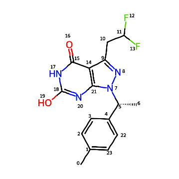 Cc1ccc([C@@H](C)n2nc(CC(F)F)c3c(=O)[nH]c(O)nc32)cc1